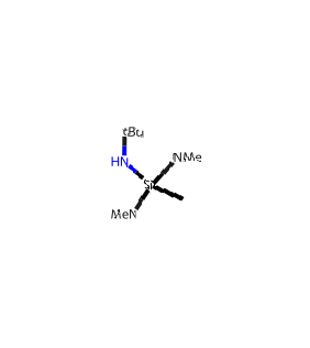 CN[Si](C)(NC)NC(C)(C)C